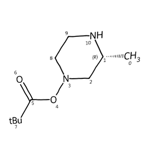 C[C@@H]1CN(OC(=O)C(C)(C)C)CCN1